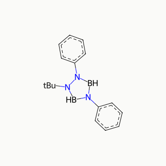 CC(C)(C)N1BN(c2ccccc2)BN1c1ccccc1